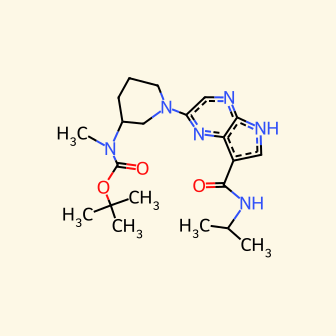 CC(C)NC(=O)c1c[nH]c2ncc(N3CCCC(N(C)C(=O)OC(C)(C)C)C3)nc12